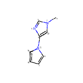 Cn1cnc(-n2cccc2)c1